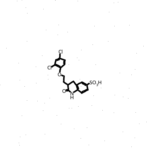 O=C1Nc2ccc(S(=O)(=O)O)cc2CC1CCOc1ccc(Cl)cc1Cl